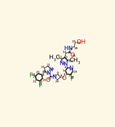 Cc1nn(-c2cc(OC3CN(C(=O)N4N=CC[C@H]4c4cc(F)cc(F)c4)C3)c(F)cn2)c(C)c1CC(=O)NCCO